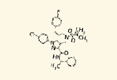 C[C@@H](NC(=O)c1nn(-c2ccc(Cl)cc2)c2c1CN(S(=O)(=O)N(C)C)C/C2=C\c1ccc(F)cc1)c1ccccc1